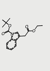 CCOC(=O)Cc1cn(C(=O)OC(C)(C)C)c2ccccc12